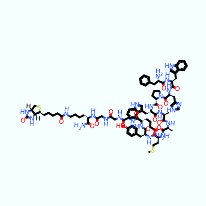 CSCC[C@H](NC(=O)[C@H](C)NC(=O)[C@H](C)NC(=O)[C@H](Cc1c[nH]c2ccccc12)NC(=O)[C@@H]1CCCN1C(=O)[C@H](Cc1c[nH]cn1)NC(=O)[C@H](Cc1c[nH]c2ccccc12)NC(=O)[C@@H](N)Cc1ccccc1)C(=O)N[C@@H](Cc1ccc(O)cc1)C(=O)N[C@@H](CCCCN)C(=O)NCC(=O)NCC(=O)NCC(=O)N[C@@H](CCCCNC(=O)CCCC[C@@H]1SC[C@@H]2NC(=O)N[C@@H]21)C(N)=O